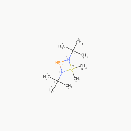 CC(C)(C)N1PN(C(C)(C)C)S1(C)C